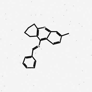 Cc1ccc2c(N=Cc3ccccc3)c3c(nc2c1)CCCC3